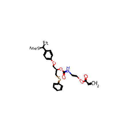 C=CC(=O)OCCNC(=O)OC(COc1ccc(C(CC)SC)cc1)CSc1ccccc1